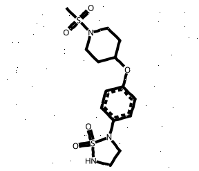 CS(=O)(=O)N1CCC(Oc2ccc(N3CCNS3(=O)=O)cc2)CC1